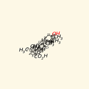 C=C(C)[C@@H]1CC[C@]2(C(=O)O)CC[C@@H]3[C@H](CC[C@H]4[C@@]3(C)CC[C@H]3C(C)(C)[C@@H](O)CC[C@]43C)[C@@H]12